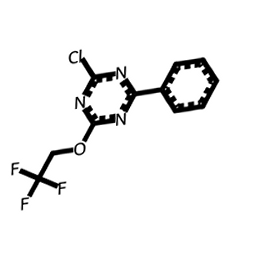 FC(F)(F)COc1nc(Cl)nc(-c2ccccc2)n1